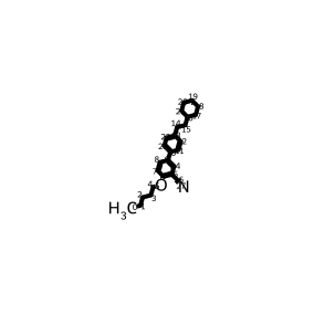 CCCCCOc1ccc(-c2ccc(CCC3CC[CH]CC3)cc2)cc1C#N